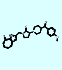 COc1ccc(C(=O)C2CCN(C3CCN(Cc4cc5ccccc(=O)c5[nH]4)C3=O)CC2)cc1